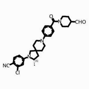 C[C@H]1CC2(CCN(c3ccc(C(=O)N4CCC(C=O)CC4)cc3)CC2)CN1c1ccc(C#N)c(Cl)c1